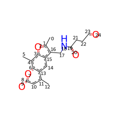 Cc1oc2c(C)c3oc(=O)cc(C)c3cc2c1CNC(=O)CCC=O